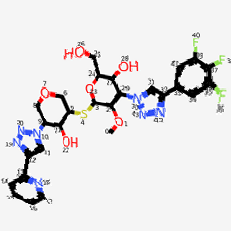 COC1C(SC2COCC(n3cc(-c4ccccn4)nn3)C2O)OC(CO)C(O)C1n1cc(-c2cc(F)c(F)c(F)c2)nn1